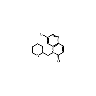 O=c1ccc2ncc(Br)cc2n1CC1CCCCO1